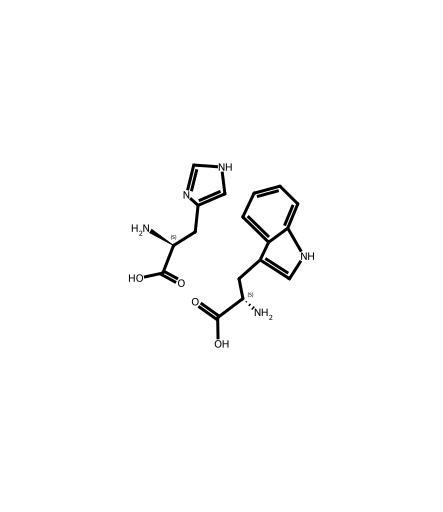 N[C@@H](Cc1c[nH]c2ccccc12)C(=O)O.N[C@@H](Cc1c[nH]cn1)C(=O)O